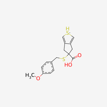 COc1ccc(CSC2(C(=O)O)CC3=C[SH]C=C3C2)cc1